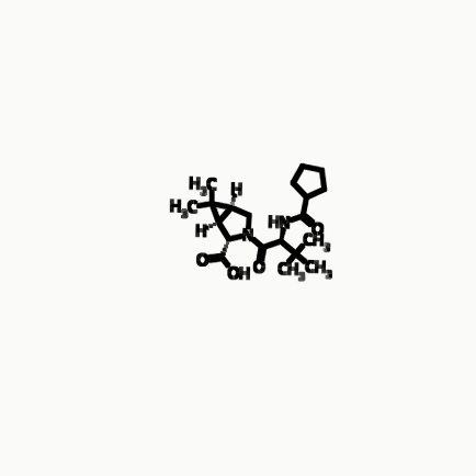 CC(C)(C)[C@H](NC(=O)C1CCCC1)C(=O)N1C[C@H]2[C@@H]([C@H]1C(=O)O)C2(C)C